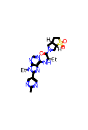 CC[C@@H](Nc1ncnc2c1nc(-c1cnc(C)nc1)n2CC)C(=O)N1C[C@H]2CCS(=O)(=O)[C@@H]2C1